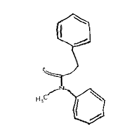 CN(C(=S)Cc1ccccc1)c1ccccc1